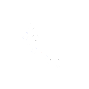 CCCCc1nc(Cl)c(C(=O)Cc2ccc(C(OC)OC)c[n+]2[O-])n1Cc1ccc(-c2ccccc2)c(-c2nnn[nH]2)c1